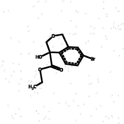 CCOC(=O)C1(O)COCc2cc(Br)ccc21